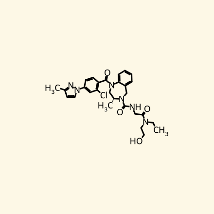 CCN(CCO)C(=O)CNC(=O)N1Cc2ccccc2N(C(=O)c2ccc(-n3ccc(C)n3)cc2Cl)C[C@H]1C